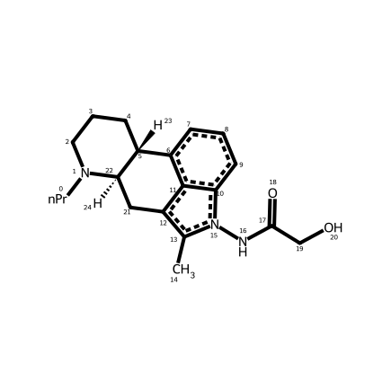 CCCN1CCC[C@@H]2c3cccc4c3c(c(C)n4NC(=O)CO)C[C@H]21